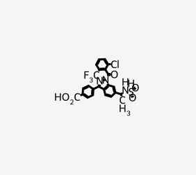 CC(N[SH](=O)=O)c1ccc2c(-c3ccc(C(=O)O)cc3)nn(C(=O)c3c(Cl)cccc3C(F)(F)F)c2c1